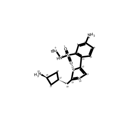 CC(C)(C)NS(=O)(=O)c1cc(N)ccc1-c1cnc(C[C@H]2C[C@H](N)C2)s1